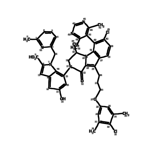 Cc1cccc(Cn2c(C(=O)O)cc3cc(O)cc(N4CC(C)n5c(c(CCCOc6cc(C)c(Cl)c(C)c6)c6ccc(Cl)c(-c7c(C)ncnc7C)c65)C4=O)c32)n1